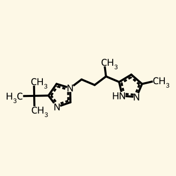 Cc1cc(C(C)CCn2cnc(C(C)(C)C)c2)[nH]n1